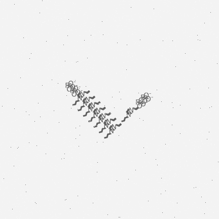 C=CC[n+]1ccn(CCCC)c1.C=CC[n+]1ccn(CCCC)c1.C=CC[n+]1ccn(CCCC)c1.C=CC[n+]1ccn(CCCC)c1.C=CC[n+]1ccn(CCCC)c1.C=CC[n+]1ccn(CCCC)c1.C=CC[n+]1ccn(CCCC)c1.C=CC[n+]1ccn(CCCC)c1.O=P([O-])([O-])F.O=P([O-])([O-])F.O=P([O-])([O-])F.O=P([O-])([O-])F